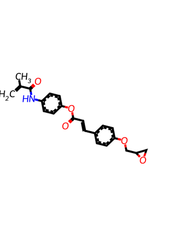 C=C(C)C(=O)Nc1ccc(OC(=O)C=Cc2ccc(OCC3CO3)cc2)cc1